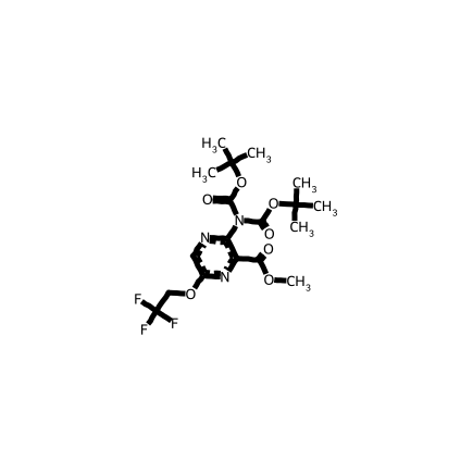 COC(=O)c1nc(OCC(F)(F)F)cnc1N(C(=O)OC(C)(C)C)C(=O)OC(C)(C)C